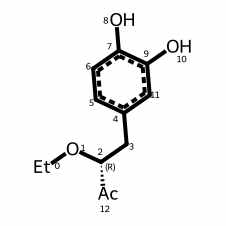 CCO[C@H](Cc1ccc(O)c(O)c1)C(C)=O